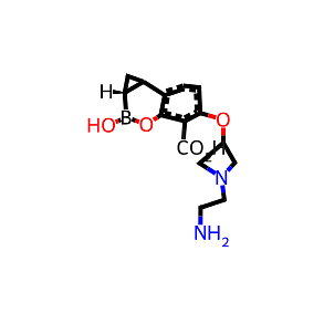 NCCN1CC(Oc2ccc3c(c2C(=O)O)OB(O)[C@@H]2CC32)C1